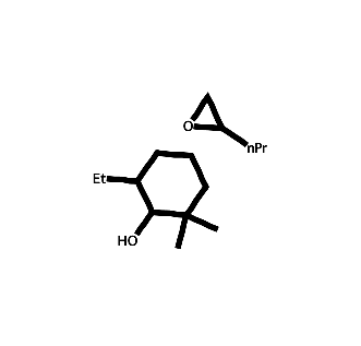 CCC1CCCC(C)(C)C1O.CCCC1CO1